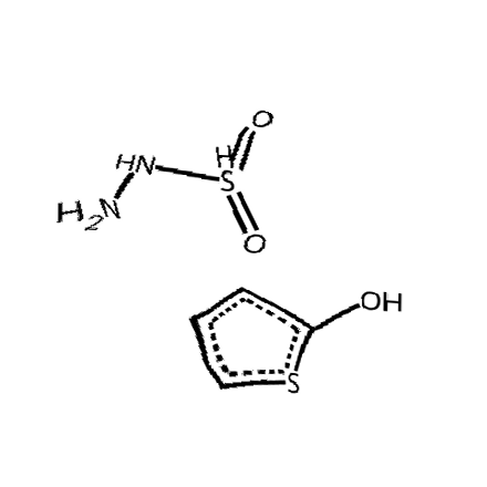 NN[SH](=O)=O.Oc1cccs1